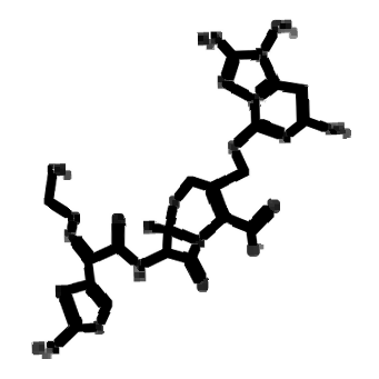 CCO/N=C(\C(=O)NC1C(=O)N2C(C(=O)[O-])=C(CSc3nc(N)cc4n(C)c(N)n[n+]34)CS[C@@H]12)c1csc(N)n1